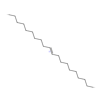 [CH2]CCCCCCCC/C=C/CCCCCCCC[CH2]